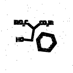 CCOC(=O)C(CO)C(=O)OCC.c1ccccc1